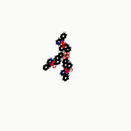 C[C@]1(C(=O)NCC2(c3ccccc3)CCCCC2)CCC[C@]2(C)c3cc(OP(=O)(Oc4ccc5c(c4)[C@@]4(C)CCC[C@](C)(C(=O)NCC6(c7ccccc7)CCCCC6)[C@@H]4CC5)Oc4ccc5c(c4)[C@@]4(C)CCC[C@](C)(C(=O)NCC6(c7ccccc7)CCCCC6)[C@@H]4CC5)ccc3CC[C@@H]12